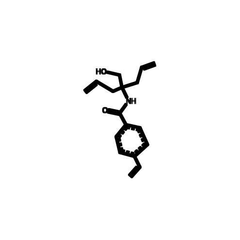 C=CCC(CO)(CC=C)NC(=O)c1ccc(C=C)cc1